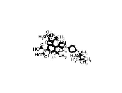 CC(C)(C)c1nc(N(C(=O)O)C(=O)O)c2o[c]([Sn]([CH3])([CH3])[CH3])c(C(C)(C)C)c2c1-c1cnn([C@H]2CC[C@H](O[Si](C)(C)C(C)(C)C)CC2)c1